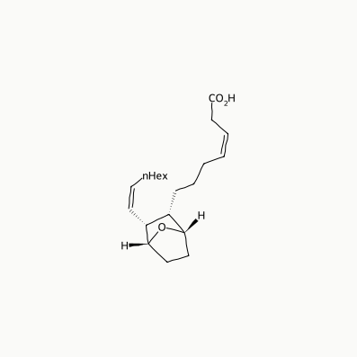 CCCCCC/C=C\[C@@H]1[C@H](CCC/C=C\CC(=O)O)[C@@H]2CC[C@H]1O2